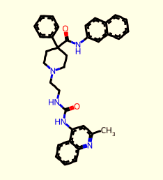 Cc1cc(NC(=O)NCCN2CCC(C(=O)Nc3ccc4ccccc4c3)(c3ccccc3)CC2)c2ccccc2n1